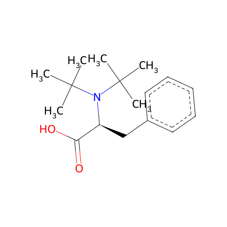 CC(C)(C)N([C@@H](Cc1ccccc1)C(=O)O)C(C)(C)C